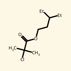 CCC(CC)CCOC(=O)C(C)(C)Cl